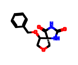 O=C1NC(=O)[C@@]2(COC[C@H]2OCc2ccccc2)N1